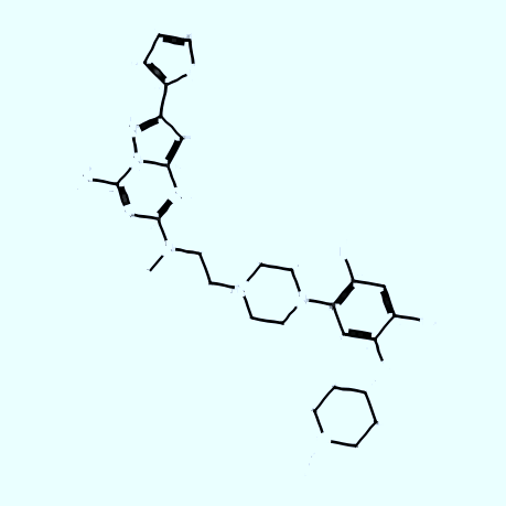 CN(CCN1CCN(c2cc(O[C@H]3CC[S@@+]([O-])CC3)c(F)cc2F)CC1)c1nc(N)n2nc(-c3ccco3)cc2n1